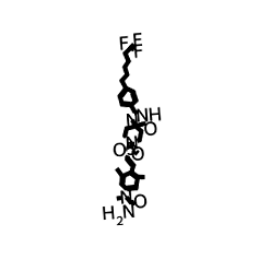 Cc1cc(N(C)C(N)=O)cc(C)c1C=CS(=O)(=O)N1CCC2(CC1)N=C(c1ccc(CCCCCC(F)(F)F)cc1)NC2=O